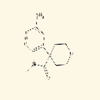 CN1C(=O)C2(CCOCC2)c2cc(N)ccc21